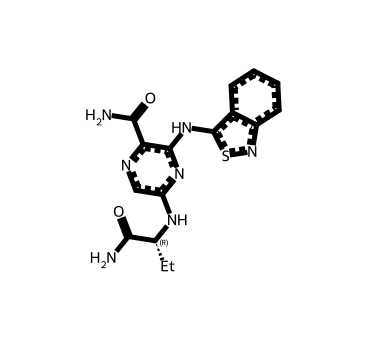 CC[C@@H](Nc1cnc(C(N)=O)c(Nc2snc3ccccc23)n1)C(N)=O